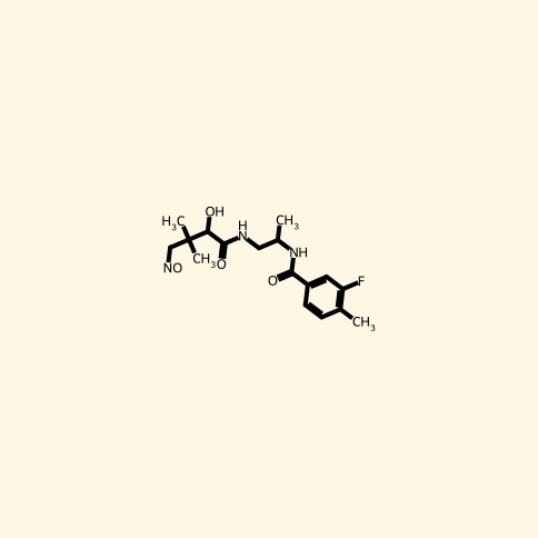 Cc1ccc(C(=O)NC(C)CNC(=O)C(O)C(C)(C)CN=O)cc1F